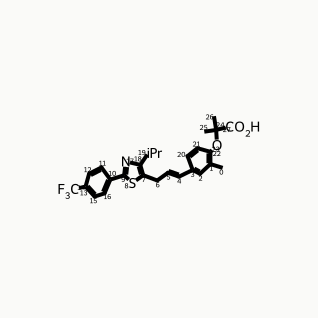 Cc1cc(C=CCc2sc(-c3ccc(C(F)(F)F)cc3)nc2C(C)C)ccc1OC(C)(C)C(=O)O